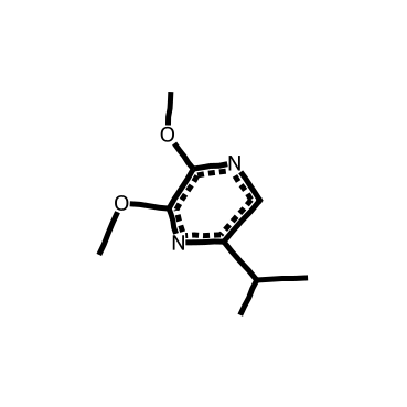 COc1ncc(C(C)C)nc1OC